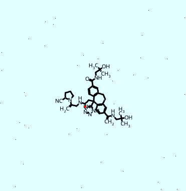 C=C(NCC(C)(C)O)c1ccc2c(c1)CCc1cc(C(=O)NCC(C)(C)O)ccc1C2(C[C@H](C)NCC(=C)N1CCCC1C#N)c1nnn[nH]1